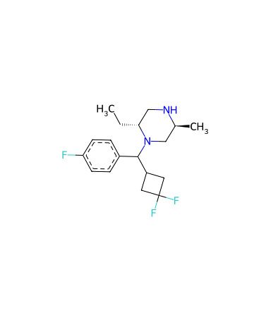 CC[C@@H]1CN[C@@H](C)CN1C(c1ccc(F)cc1)C1CC(F)(F)C1